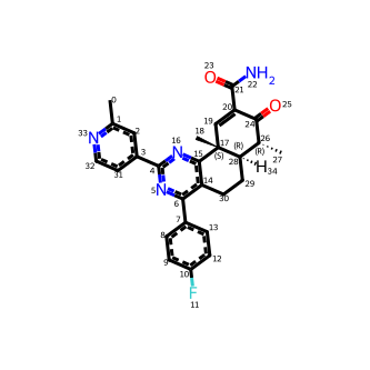 Cc1cc(-c2nc(-c3ccc(F)cc3)c3c(n2)[C@]2(C)C=C(C(N)=O)C(=O)[C@H](C)[C@H]2CC3)ccn1